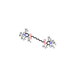 CC1C(OC(=O)CCCCCCCCC(=O)OC2CC(C)(C)N(C)C(C)C2C)CC(C)(C)N(C)C1C